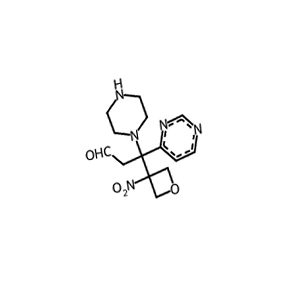 O=CCC(c1ccncn1)(N1CCNCC1)C1([N+](=O)[O-])COC1